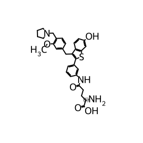 COc1cc(Cc2c(-c3cccc(NC(=O)CC[C@H](N)C(=O)O)c3)sc3cc(O)ccc23)ccc1CN1CCCC1